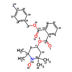 CC1(C)CC(OC(=O)c2ccccc2C(=O)OCc2ccc(I)cc2)CC(C)(C)N1[O]